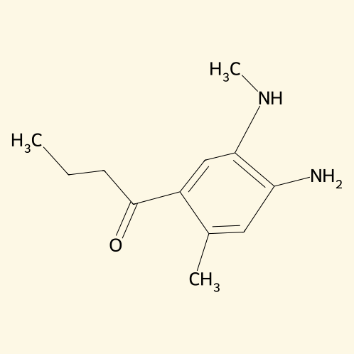 CCCC(=O)c1cc(NC)c(N)cc1C